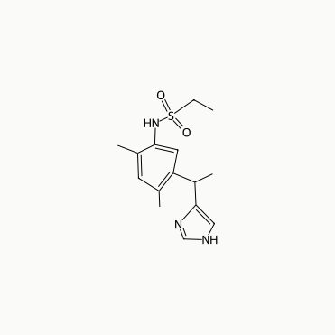 CCS(=O)(=O)Nc1cc(C(C)c2c[nH]cn2)c(C)cc1C